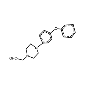 O=CCN1CCN(c2ccc(Oc3ccccc3)cc2)CC1